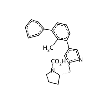 Cc1c(-c2ccccc2)cccc1-c1cnn(C[C@@H]2CCCN2C(=O)O)c1